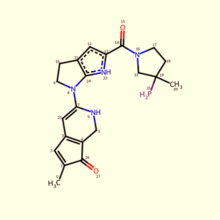 CC1=CC2=C(CNC(N3CCc4cc(C(=O)N5CCC(C)(P)C5)[nH]c43)=C2)C1=O